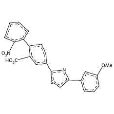 COc1cccc(-c2csc(-c3ccc(-c4ccccc4[N+](=O)[O-])c(C(=O)O)c3)n2)c1